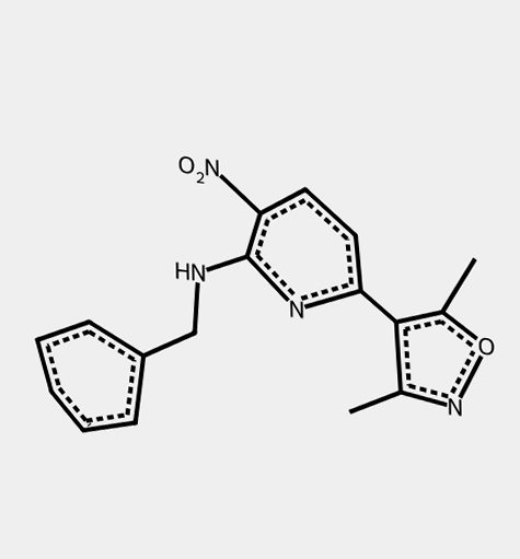 Cc1noc(C)c1-c1ccc([N+](=O)[O-])c(NCc2ccccc2)n1